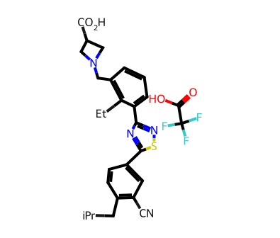 CCc1c(CN2CC(C(=O)O)C2)cccc1-c1nsc(-c2ccc(CC(C)C)c(C#N)c2)n1.O=C(O)C(F)(F)F